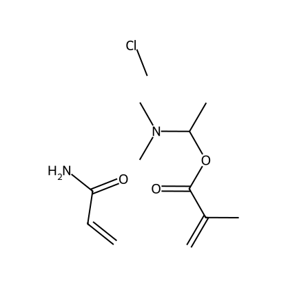 C=C(C)C(=O)OC(C)N(C)C.C=CC(N)=O.CCl